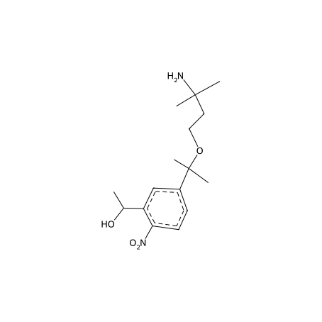 CC(O)c1cc(C(C)(C)OCCC(C)(C)N)ccc1[N+](=O)[O-]